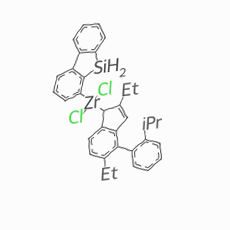 CCC1=Cc2c(ccc(CC)c2-c2ccccc2C(C)C)[CH]1[Zr]([Cl])([Cl])[c]1cccc2c1[SiH2]c1ccccc1-2